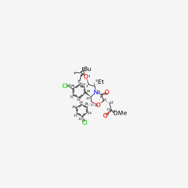 CC[C@@H](CO[Si](C)(C)C(C)(C)C)N1C(=O)[C@H](CC(=O)OC)O[C@H](c2cccc(Cl)c2)[C@H]1c1ccc(Cl)cc1